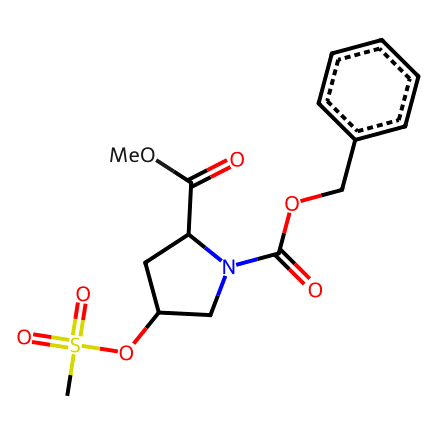 COC(=O)C1CC(OS(C)(=O)=O)CN1C(=O)OCc1ccccc1